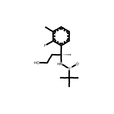 Cc1cccc([C@](C)(CCO)N[S+]([O-])C(C)(C)C)c1F